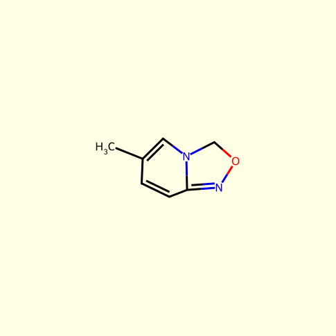 CC1=CN2CON=C2C=C1